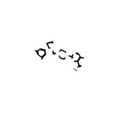 CN(C)C(=O)c1nc(N2CCN(C(=O)N3N=CC[C@H]3c3cc(F)cc(F)c3)CC2)ncc1F